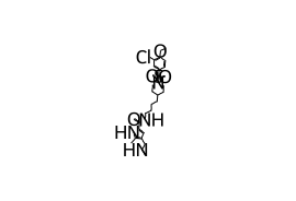 CNCc1cc(C(=O)NCCCCC2CCN(S(=O)(=O)c3ccc(OC)c(Cl)c3)CC2)[nH]c1C